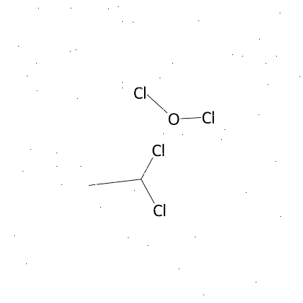 CC(Cl)Cl.ClOCl